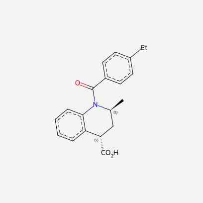 CCc1ccc(C(=O)N2c3ccccc3[C@@H](C(=O)O)C[C@@H]2C)cc1